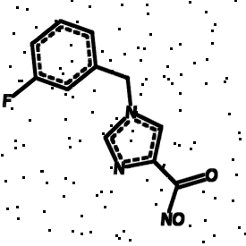 O=NC(=O)c1cn(Cc2cccc(F)c2)cn1